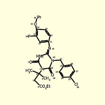 CCOC(=O)CC(C)(C)n1c(=O)[nH]/c(=N\c2ccc(OC(C)C)c(F)c2)n(Cc2ccc(Cl)cc2)c1=O